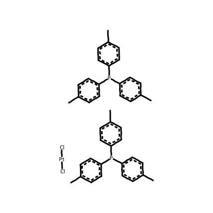 Cc1ccc(P(c2ccc(C)cc2)c2ccc(C)cc2)cc1.Cc1ccc(P(c2ccc(C)cc2)c2ccc(C)cc2)cc1.[Cl][Pt][Cl]